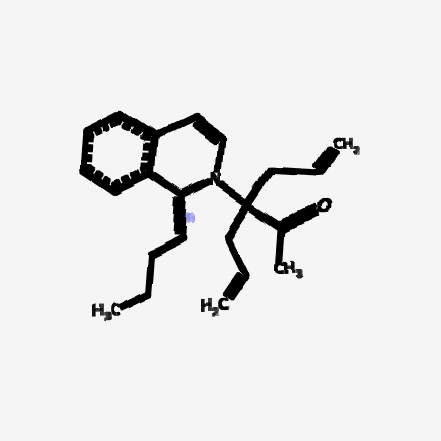 C=CCC(CC=C)(C(C)=O)N1C=Cc2ccccc2/C1=C\CCC